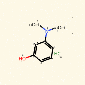 CCCCCCCCN(CCCCCCCC)c1cccc(O)c1.Cl